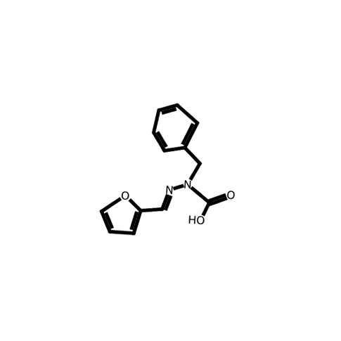 O=C(O)N(Cc1ccccc1)N=Cc1ccco1